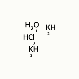 Cl.O.[KH].[KH]